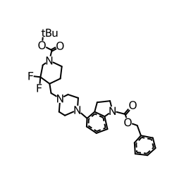 CC(C)(C)OC(=O)N1CCC(CN2CCN(c3cccc4c3CCN4C(=O)OCc3ccccc3)CC2)C(F)(F)C1